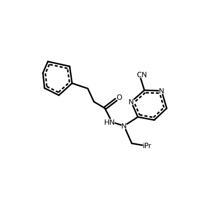 CC(C)CN(NC(=O)CCc1ccccc1)c1ccnc(C#N)n1